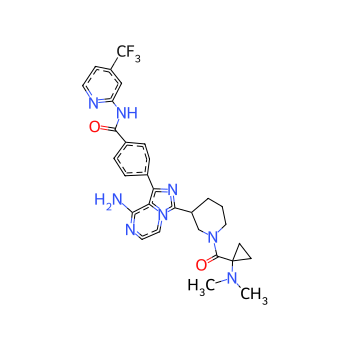 CN(C)C1(C(=O)N2CCCC(c3nc(-c4ccc(C(=O)Nc5cc(C(F)(F)F)ccn5)cc4)c4c(N)nccn34)C2)CC1